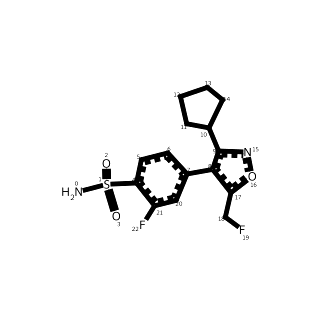 NS(=O)(=O)c1ccc(-c2c(C3CCCC3)noc2CF)cc1F